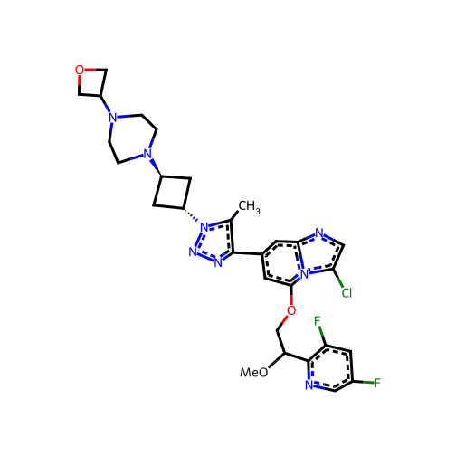 COC(COc1cc(-c2nnn([C@H]3C[C@H](N4CCN(C5COC5)CC4)C3)c2C)cc2ncc(Cl)n12)c1ncc(F)cc1F